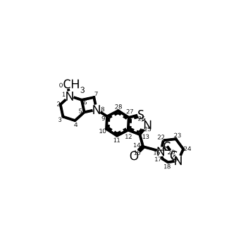 CN1CCCC2C1CN2c1ccc2c(C(=O)N3CCN4CCC3CC4)nsc2c1